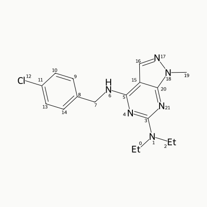 CCN(CC)c1nc(NCc2ccc(Cl)cc2)c2cnn(C)c2n1